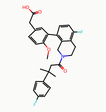 COc1ccc(CC(=O)O)cc1-c1ccc(F)c2c1CN(C(=O)CC(C)(C)c1ccc(F)cc1)CC2